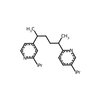 CC(C)c1ccc(C(C)CCC(C)c2ccnc(C(C)C)c2)nc1